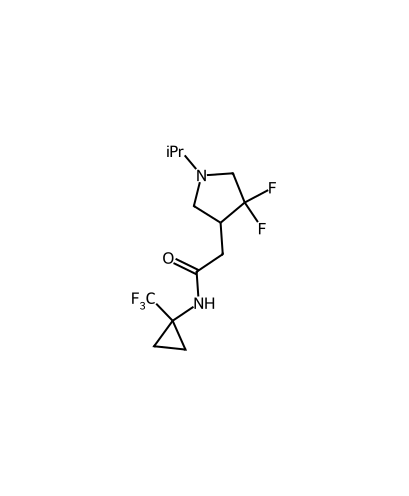 CC(C)N1CC(CC(=O)NC2(C(F)(F)F)CC2)C(F)(F)C1